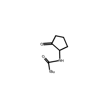 CC(C)(C)C(=O)NC1CCCC1=O